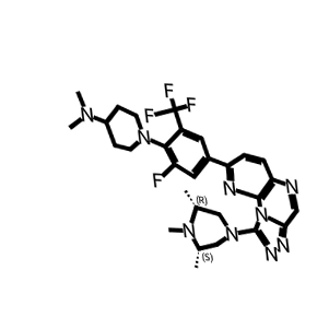 C[C@@H]1CN(c2nnc3cnc4ccc(-c5cc(F)c(N6CCC(N(C)C)CC6)c(C(F)(F)F)c5)nc4n23)C[C@H](C)N1C